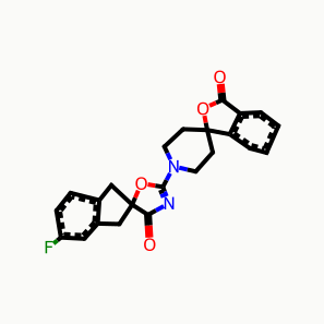 O=C1OC2(CCN(C3=NC(=O)C4(Cc5ccc(F)cc5C4)O3)CC2)c2ccccc21